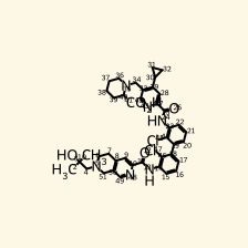 CC(C)(O)CN1CCc2cc(C(=O)Nc3cccc(-c4cccc(NC(=O)c5cc(C6CC6)c(CN6CCCCC6C(=O)O)cn5)c4Cl)c3Cl)ncc2C1